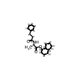 C[C@H](NC(=O)CCc1ccccc1)C(=O)Oc1cccc2ccccc12